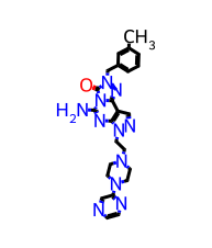 Cc1cccc(Cn2nc3c4cnn(CCN5CCN(c6cnccn6)CC5)c4nc(N)n3c2=O)c1